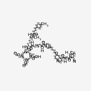 C/C(=N\CCCCC(NC(=O)CN1CCN(COC=O)CCN(COC=O)CCN(CC(=O)O)CC1)C(=O)NCCSC[C@@H](O)C(=O)N1CCN(CCCCOc2ccc3nccc(C(=O)NCC(=O)N4CC(C)(F)C[C@@H]4C#N)c3c2)CC1)NC(=O)CCCc1ccc(C)cc1